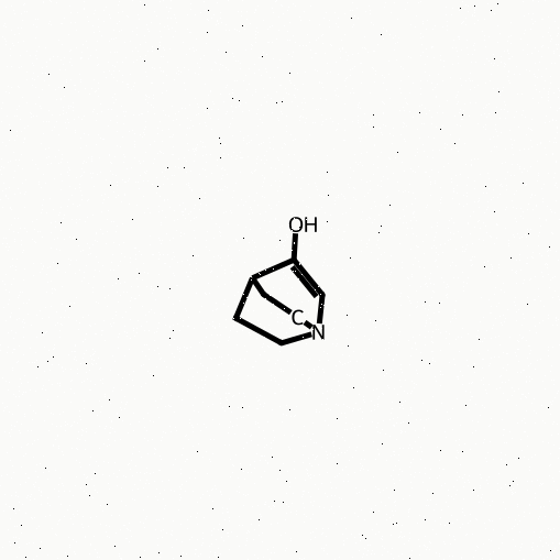 OC1=CN2CCC1CC2